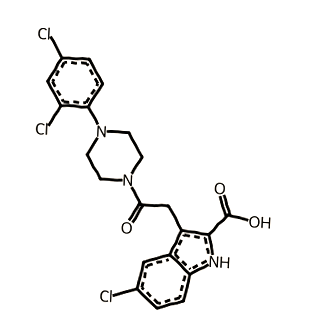 O=C(O)c1[nH]c2ccc(Cl)cc2c1CC(=O)N1CCN(c2ccc(Cl)cc2Cl)CC1